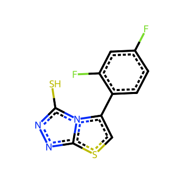 Fc1ccc(-c2csc3nnc(S)n23)c(F)c1